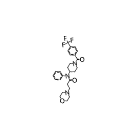 O=C(c1ccc(C(F)(F)F)cc1)N1CCC(N(C(=O)CCN2CCOCC2)c2ccccc2)CC1